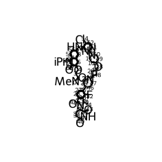 CNC(=O)COc1cc2cc(Nc3nc(N4CCC(OC5CC(N6CCC(c7ccc8c(c7F)[C@@H](C)N([C@H]7CCC(=O)NC7=O)C8=O)CC6)C5)CC4)ncc3Cl)ccc2n(C(C)C)c1=O